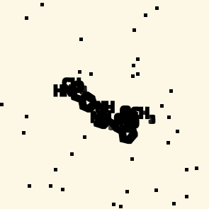 CNC(=O)Cc1ccc(Nc2nccc(CCc3ccccc3N(C)S(C)(=O)=O)n2)cc1